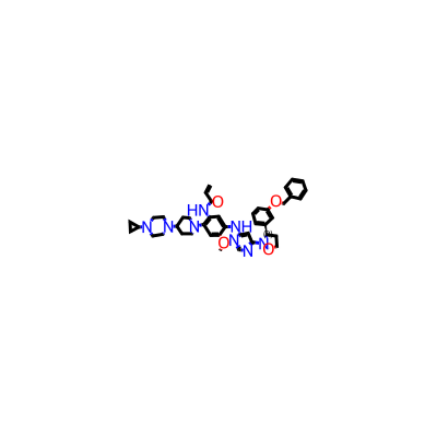 C=CC(=O)Nc1cc(Nc2cc(N3OCC[C@@H]3c3cccc(OCc4ccccc4)c3)ncn2)c(OC)cc1N1CCC(N2CCN(C3CC3)CC2)CC1